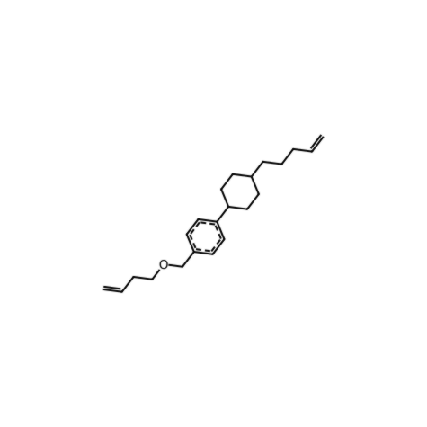 C=CCCCC1CCC(c2ccc(COCCC=C)cc2)CC1